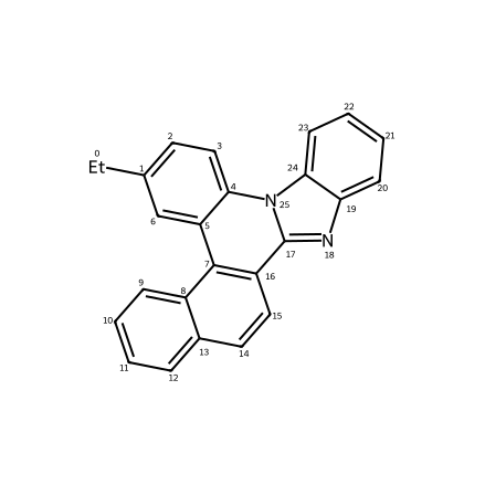 CCc1ccc2c(c1)c1c3ccccc3ccc1c1nc3ccccc3n21